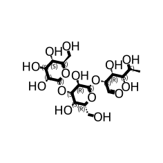 C[C@H](O)[C@H](O)[C@@H](O)[C@H](C=O)O[C@@H]1O[C@H](CO)[C@H](O)[C@H](O[C@H]2O[C@H](CO)[C@@H](O)[C@H](O)[C@H]2O)[C@H]1O